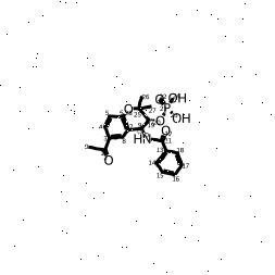 CC(=O)c1ccc2c(c1)[C@H](NC(=O)c1ccccc1)[C@@H](OP(=O)(O)O)C(C)(C)O2